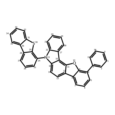 c1ccc(-c2cccc3c2oc2c3ccc3c2c2ccccc2n3-c2cccc3c2sc2ccccc23)cc1